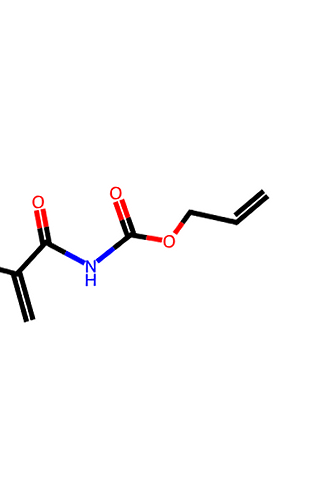 C=CCOC(=O)NC(=O)C(=C)C